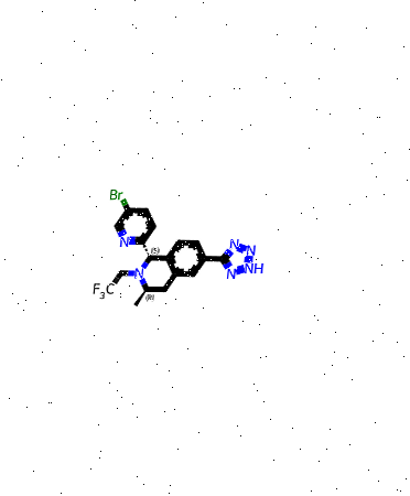 C[C@@H]1Cc2cc(-c3nn[nH]n3)ccc2[C@@H](c2ccc(Br)cn2)N1CC(F)(F)F